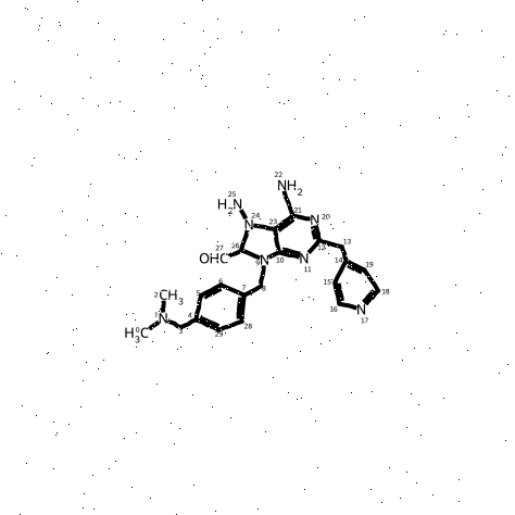 CN(C)Cc1ccc(CN2c3nc(Cc4ccncc4)nc(N)c3N(N)C2C=O)cc1